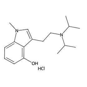 CC(C)N(CCc1cn(C)c2cccc(O)c12)C(C)C.Cl